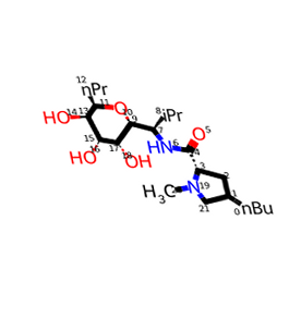 CCCCC1C[C@@H](C(=O)N[C@H](C(C)C)[C@H]2O[C@H](CCC)[C@H](O)[C@@H](O)[C@H]2O)N(C)C1